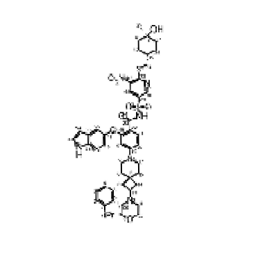 CC(C)c1ccccc1[C@H]1COCCN1C1CC2(CCN(c3ccc(C(=O)NS(=O)(=O)c4cnc(SC[C@H]5CC[C@](C)(O)CC5)c([N+](=O)[O-])c4)c(Oc4cnc5[nH]ccc5c4)c3)CC2)C1